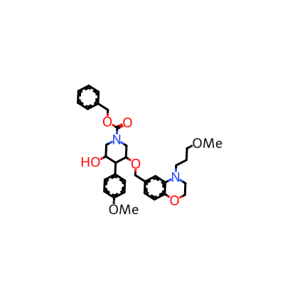 COCCCN1CCOc2ccc(COC3CN(C(=O)OCc4ccccc4)CC(O)C3c3ccc(OC)cc3)cc21